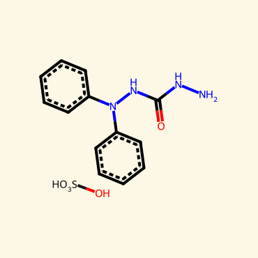 NNC(=O)NN(c1ccccc1)c1ccccc1.O=S(=O)(O)O